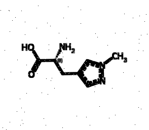 Cn1cc(C[C@@H](N)C(=O)O)cn1